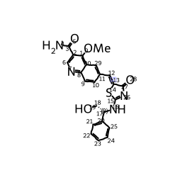 COc1c(C(N)=O)cnc2ccc(/C=C3\SC(N[C@@H](CO)c4ccccc4)=NC3=O)cc12